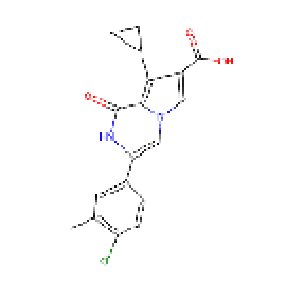 Cc1cc(-c2cn3cc(C(=O)O)c(C4CC4)c3c(=O)[nH]2)ccc1Cl